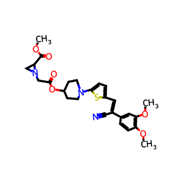 COC(=O)C1CN1CC(=O)OC1CCN(c2ccc(C=C(C#N)c3ccc(OC)c(OC)c3)s2)CC1